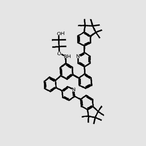 CC(C)(O)C(C)(C)OBc1cc(-c2ccccc2-c2ccc(-c3ccc4c(c3)C(C)(C)C(C)(C)C4(C)C)nc2)cc(-c2ccccc2-c2ccc(-c3ccc4c(c3)C(C)(C)C(C)(C)C4(C)C)nc2)c1